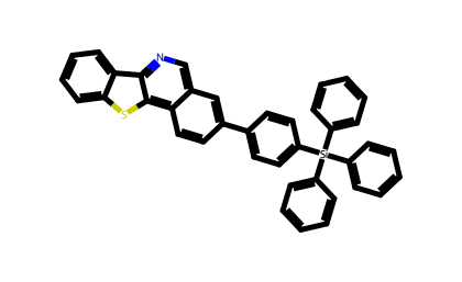 c1ccc([Si](c2ccccc2)(c2ccccc2)c2ccc(-c3ccc4c(cnc5c6ccccc6sc45)c3)cc2)cc1